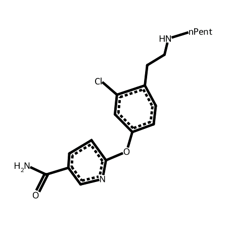 CCCCCNCCc1ccc(Oc2ccc(C(N)=O)cn2)cc1Cl